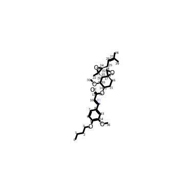 CCCCOc1ccc(/C=C/C(=O)O[C@@H]2CC[C@]3(CO3)[C@@H](C3(C)O[C@H]3CC=C(C)C)[C@@H]2OC)cc1OC